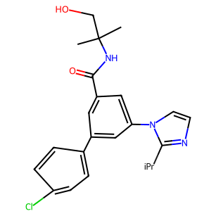 CC(C)c1nccn1-c1cc(C(=O)NC(C)(C)CO)cc(-c2ccc(Cl)cc2)c1